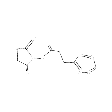 O=C(CCc1nncnn1)ON1C(=O)CCC1=O